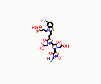 Cc1ccc2c(c1)N(CCCS(=O)(=O)O)C(=CC=c1s/c(=c3/s/c(=C4/SC(=O)N(C)C4=O)n(CC(=O)O)c3=O)n(CC(=O)O)c1=O)S2